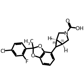 CC1(c2ccc(Cl)cc2F)Oc2cccc(C3[C@H]4CN(C(=O)O)C[C@@H]34)c2O1